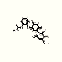 CC(=O)C(C)Oc1ccccc1Oc1cc(-n2c(=O)cc(C(F)(F)F)n(C)c2=O)c(F)cc1[N+](=O)[O-]